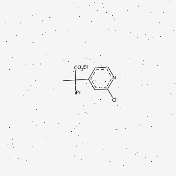 CCOC(=O)C(C)(c1ccnc(Cl)c1)C(C)C